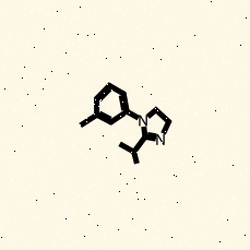 Cc1cccc(N2CCN=C2C(C)C)c1